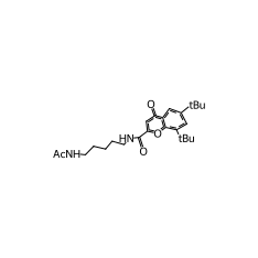 CC(=O)NCCCCCNC(=O)c1cc(=O)c2cc(C(C)(C)C)cc(C(C)(C)C)c2o1